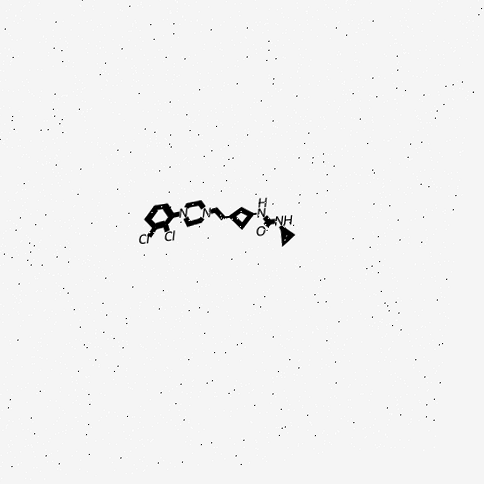 O=C(NC1CC1)N[C@H]1C[C@H](CCN2CCN(c3cccc(Cl)c3Cl)CC2)C1